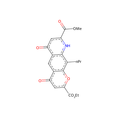 CCCc1c2[nH]c(C(=O)OC)cc(=O)c2cc2c(=O)cc(C(=O)OCC)oc12